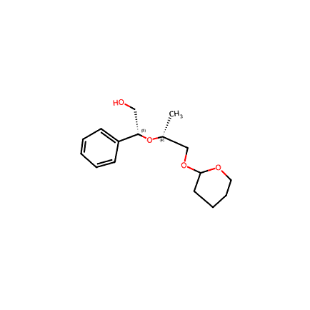 C[C@H](COC1CCCCO1)O[C@@H](CO)c1ccccc1